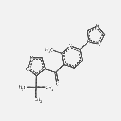 Cc1nc(-n2cncn2)ccc1C(=O)c1cnoc1C(C)(C)C